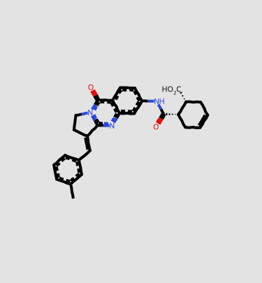 Cc1cccc(C=C2CCn3c2nc2cc(NC(=O)[C@H]4CC=CC[C@H]4C(=O)O)ccc2c3=O)c1